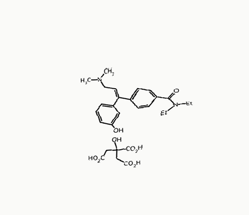 CCN(CC)C(=O)c1ccc(C(=CCN(C)C)c2cccc(O)c2)cc1.O=C(O)CC(O)(CC(=O)O)C(=O)O